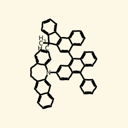 CC1(C)c2ccccc2-c2c1cc(-c1c3ccccc3c(-c3ccccc3)c3ccc(N4c5ccccc5CCc5cc6ccccc6cc54)cc13)c1ccccc21